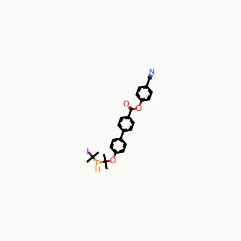 CC(C)(I)PC(C)(C)Oc1ccc(-c2ccc(C(=O)Oc3ccc(C#N)cc3)cc2)cc1